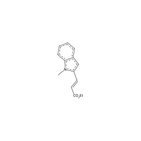 CCOC(=O)/C=C/c1cc2ccccc2n1C